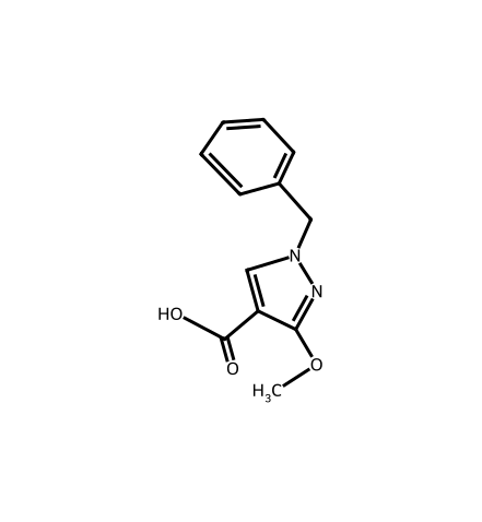 COc1nn(Cc2ccccc2)cc1C(=O)O